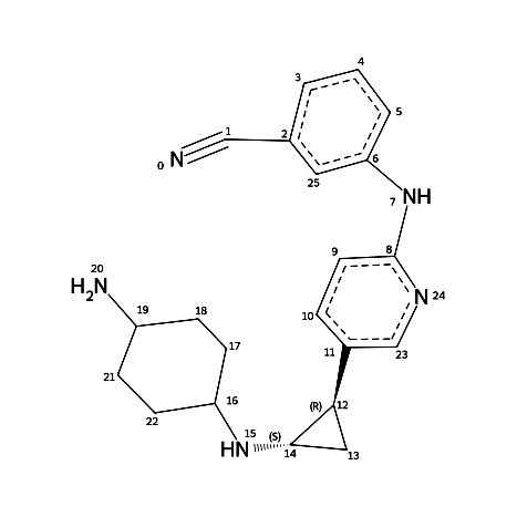 N#Cc1cccc(Nc2ccc([C@H]3C[C@@H]3NC3CCC(N)CC3)cn2)c1